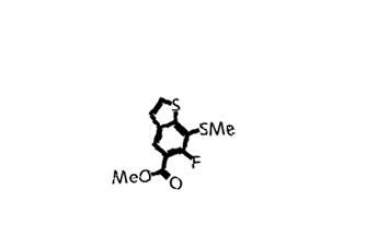 COC(=O)c1cc2ccsc2c(SC)c1F